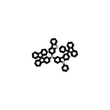 c1ccc(-n2c3ccc(N(c4ccc5c(c4)C4(c6ccccc6-c6ccccc64)c4ccccc4-5)c4ccc5c(c4)sc4ccccc45)cc3c3cc(C4(c5ccccc5)c5ccccc5-c5ccccc54)ccc32)cc1